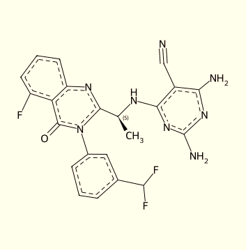 C[C@H](Nc1nc(N)nc(N)c1C#N)c1nc2cccc(F)c2c(=O)n1-c1cccc(C(F)F)c1